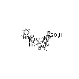 Cc1ccccc1NC(=O)Nc1ccc(CC(=O)N(C)C(C)c2ccn(CC(F)(F)C(=O)O)n2)cn1